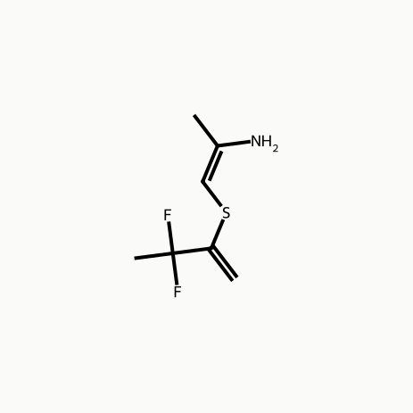 C=C(S/C=C(/C)N)C(C)(F)F